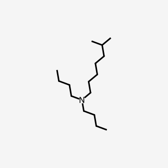 CCCCN(CCCC)CCCCCC(C)C